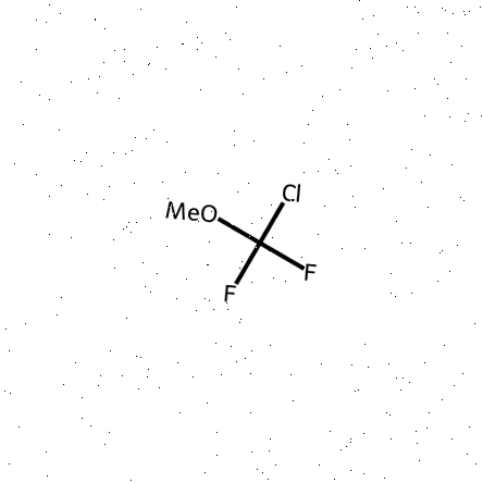 COC(F)(F)Cl